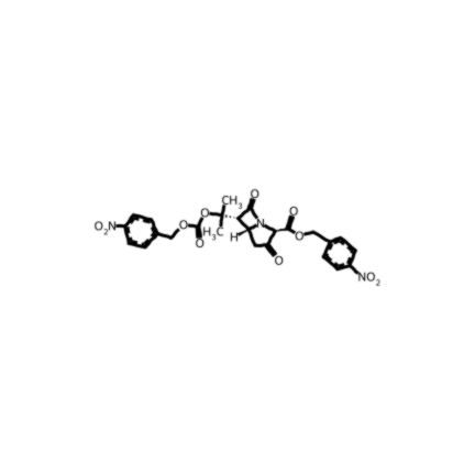 CC(C)(OC(=O)OCc1ccc([N+](=O)[O-])cc1)[C@@H]1C(=O)N2[C@@H](C(=O)OCc3ccc([N+](=O)[O-])cc3)C(=O)C[C@H]12